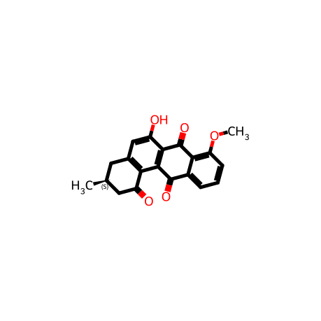 COc1cccc2c1C(=O)c1c(O)cc3c(c1C2=O)C(=O)C[C@@H](C)C3